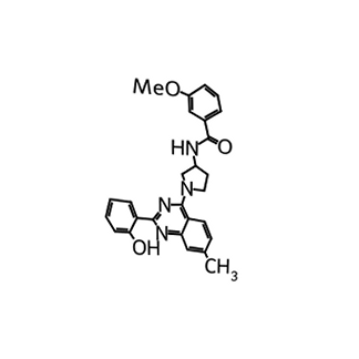 COc1cccc(C(=O)NC2CCN(c3nc(-c4ccccc4O)nc4cc(C)ccc34)C2)c1